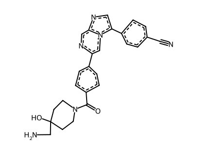 N#Cc1ccc(-c2cnc3cnc(-c4ccc(C(=O)N5CCC(O)(CN)CC5)cc4)cn23)cc1